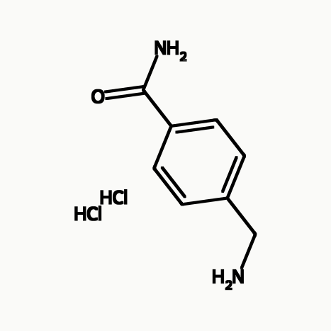 Cl.Cl.NCc1ccc(C(N)=O)cc1